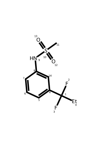 CCC(F)(F)c1cccc(NS(C)(=O)=O)c1